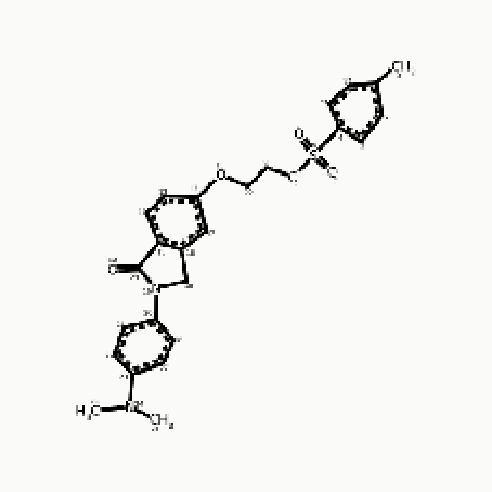 Cc1ccc(S(=O)(=O)OCCOc2ccc3c(c2)CN(c2ccc(N(C)C)cc2)C3=O)cc1